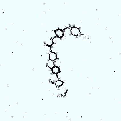 CC(=O)NC[C@H]1CN(c2ccc(N3CCN(C(=O)COc4ccc(CN5CCN(C)CC5)cc4)CC3)c(F)c2)C(=O)O1